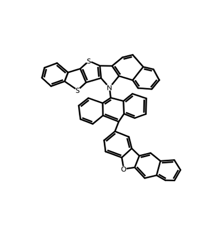 c1ccc2cc3c(cc2c1)oc1ccc(-c2c4ccccc4c(-n4c5c6ccccc6ccc5c5sc6c7ccccc7sc6c54)c4ccccc24)cc13